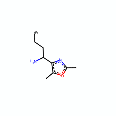 Cc1nc(C(N)CCC(C)C)c(C)o1